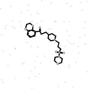 O=C(CCC1CCN(CCCS(=O)(=O)N2CCOCC2)CC1)c1cccc2c1OCCO2